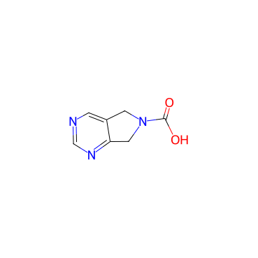 O=C(O)N1Cc2cncnc2C1